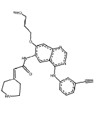 C#Cc1cccc(Nc2ncnc3cc(OCCCOC)c(NC(=O)C=C4CCNCC4)cc23)c1